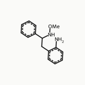 CONC(Cc1ccccc1N)c1ccccc1